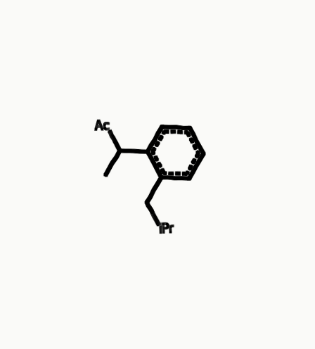 CC(=O)C(C)c1ccccc1CC(C)C